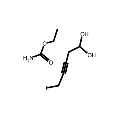 CCOC(N)=O.OC(O)CC#CCI